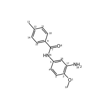 COc1ccc(NC(=O)c2ccc(C)cc2)cc1N